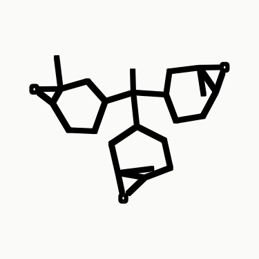 CC12CC(C(C)(C3CCC4OC4(C)C3)C3CCC4OC4(C)C3)CCC1O2